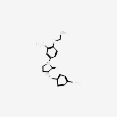 Cc1ccc(O[C@H]2CCN(c3ccc(OCC(C)(C)C)c(C)c3)C2=O)cc1